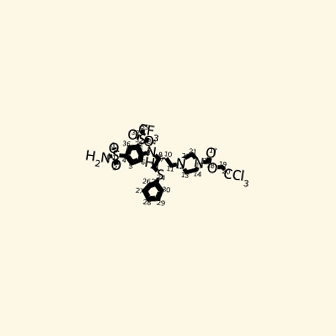 NS(=O)(=O)c1ccc(N[C@H](CCN2CCN(C(=O)OCC(Cl)(Cl)Cl)CC2)CSc2ccccc2)c(S(=O)(=O)C(F)(F)F)c1